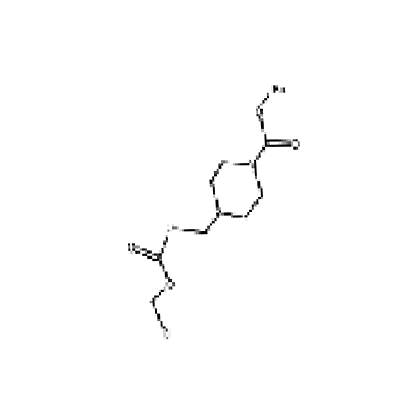 CC(C)(C)OC(=O)N1CCC(COC(=O)OCCl)CC1